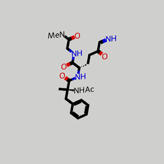 CNC(=O)CNC(=O)[C@H](CCC(=O)C=N)NC(=O)[C@@](C)(Cc1ccccc1)NC(C)=O